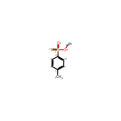 Cc1ccc(S(=O)(=S)OC(C)C)cc1